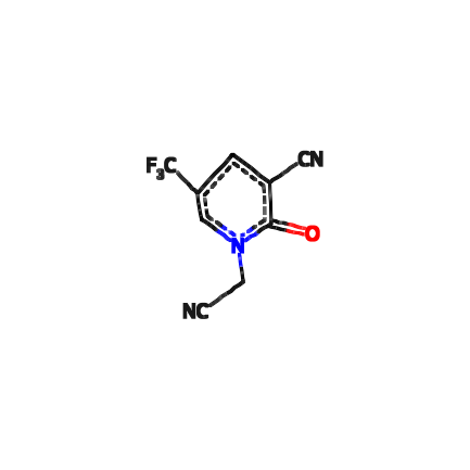 N#CCn1cc(C(F)(F)F)cc(C#N)c1=O